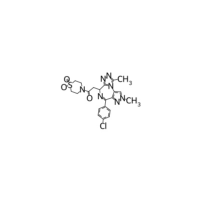 Cc1nnc2n1-c1cn(C)nc1C(c1ccc(Cl)cc1)=NC2CC(=O)N1CCS(=O)(=O)CC1